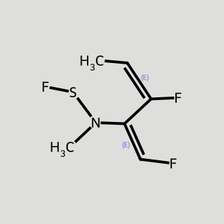 C/C=C(F)\C(=C/F)N(C)SF